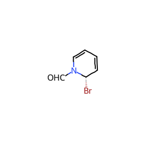 O=CN1C=CC=C[C@@H]1Br